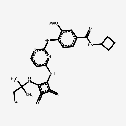 COc1cc(C(=O)NC2CCC2)ccc1Nc1nccc(Nc2c(NC(C)(C)CC(C)=O)c(=O)c2=O)n1